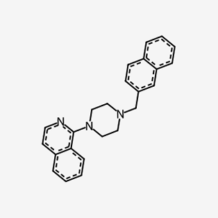 c1ccc2cc(CN3CCN(c4nccc5ccccc45)CC3)ccc2c1